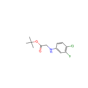 CC(C)(C)OC(=O)CNc1ccc(Cl)c(F)c1